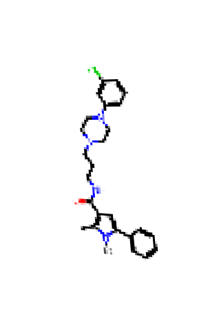 CCn1c(-c2ccccc2)cc(C(=O)NCCCN2CCN(c3cccc(Cl)c3)CC2)c1C